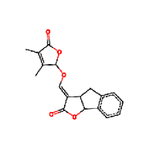 CC1=C(C)C(O/C=C2/C(=O)OC3c4ccccc4CC23)OC1=O